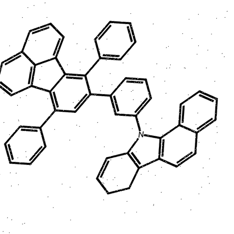 C1=Cc2c(c3ccc4ccccc4c3n2-c2cccc(-c3cc(-c4ccccc4)c4c(c3-c3ccccc3)-c3cccc5cccc-4c35)c2)CC1